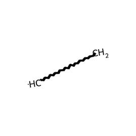 [CH]=CC=CC=CC=CC=CC=CC=CC=CC=CC=CC=CC=C